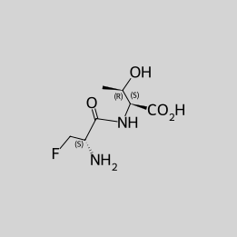 C[C@@H](O)[C@H](NC(=O)[C@H](N)CF)C(=O)O